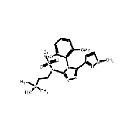 COc1cccc(OC)c1-n1c(-c2ccn(C)n2)nnc1N(CCS(C)(C)C)S(C)(=O)=O